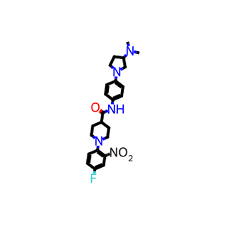 CN(C)C1CCN(c2ccc(NC(=O)C3CCN(c4ccc(F)cc4[N+](=O)[O-])CC3)cc2)C1